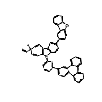 C=CC1(C)C=Cc2c(n(-c3cccc(-c4ccc5c6ccccc6c6ccccc6c5c4)c3)c3ccc(-c4ccc5oc6ccccc6c5c4)cc23)C=C1